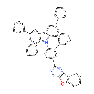 c1ccc(-c2ccc3c(c2)c2cc(-c4ccccc4)ccc2n3-c2c(-c3ccccc3)cc(-c3ncc4oc5ccccc5c4n3)cc2-c2ccccc2)cc1